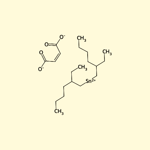 CCCCC(CC)[CH2][Sn+2][CH2]C(CC)CCCC.O=C([O-])/C=C\C(=O)[O-]